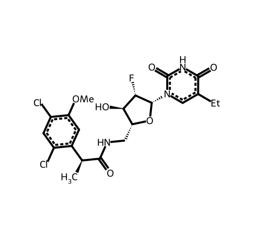 CCc1cn([C@@H]2O[C@H](CNC(=O)[C@@H](C)c3cc(OC)c(Cl)cc3Cl)[C@@H](O)[C@@H]2F)c(=O)[nH]c1=O